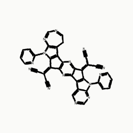 N#CC(C#N)=C1c2nc3c(nc2-c2c4c(n(-c5ccccn5)c21)N=CN=CC4)C(=C(C#N)C#N)c1c-3c2cncnc2n1-c1ccccn1